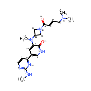 CNc1nccc(-c2c[nH]c(=O)c(N(C)C3CN(C(=O)C=CCN(C)C)C3)c2)n1